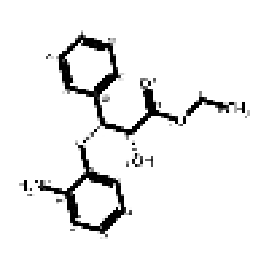 CCOC(=O)[C@H](O)[C@H](Cc1ccccc1N)c1ccccc1